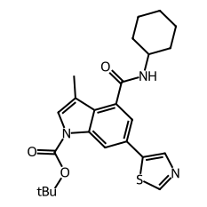 Cc1cn(C(=O)OC(C)(C)C)c2cc(-c3cncs3)cc(C(=O)NC3CCCCC3)c12